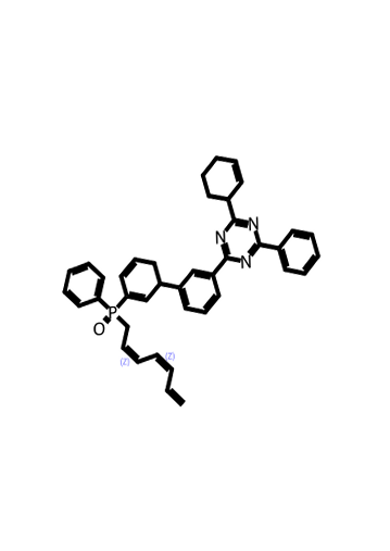 C=C/C=C\C=C/CP(=O)(C1=CC(c2cccc(-c3nc(-c4ccccc4)nc(C4C=CCCC4)n3)c2)CC=C1)c1ccccc1